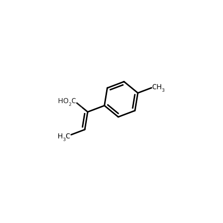 CC=C(C(=O)O)c1ccc(C)cc1